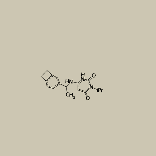 CC(Nc1cc(=O)n(C(C)C)c(=O)[nH]1)c1ccc2c(c1)CC2